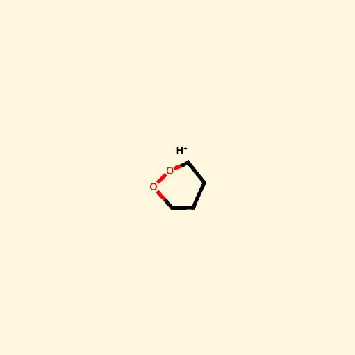 C1CCOOC1.[H+]